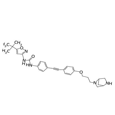 CC(C)(C)c1cc(NC(=O)Nc2ccc(C#Cc3ccc(OCCCN4CC5CC4CN5)cc3)cc2)no1